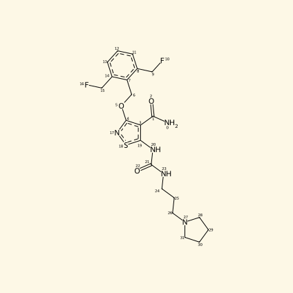 NC(=O)c1c(OCc2c(CF)cccc2CF)nsc1NC(=O)NCCCN1CCCC1